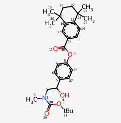 CN(CC(O)c1ccc(OC(=O)c2ccc3c(c2)C(C)(C)CCC3(C)C)cc1)C(=O)OC(C)(C)C